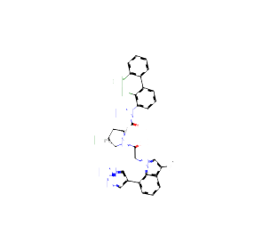 CC(=O)c1cn(CC(=O)N2C[C@H](F)C[C@H]2C(=O)Nc2cccc(-c3ccccc3Cl)c2F)c2c(-c3cn[nH]c3)cccc12